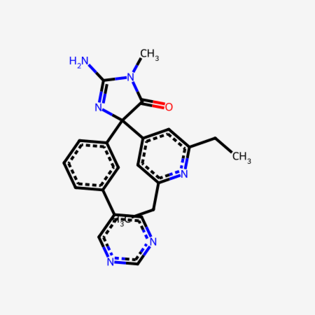 CCc1cc(C2(c3cccc(-c4cncnc4)c3)N=C(N)N(C)C2=O)cc(CC)n1